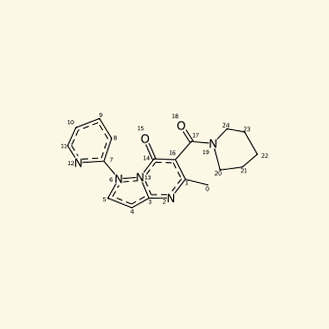 Cc1nc2ccn(-c3ccccn3)n2c(=O)c1C(=O)N1CCCCC1